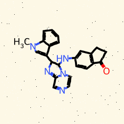 Cn1cc(C2N=C3C=NC=CN3C2Nc2ccc3c(c2)CCC3=O)c2ccccc21